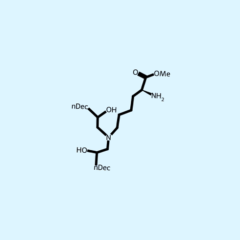 CCCCCCCCCCC(O)CN(CCCC[C@H](N)C(=O)OC)CC(O)CCCCCCCCCC